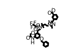 COC(=O)c1cccc(-c2nc(C)n(CCC(C)(C)NCC(OC(=O)C(F)(F)F)c3cc(OCc4ccccc4)cc4c3OCC(=O)N4)n2)c1